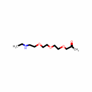 CCNCCOCCOCCOCC(C)=O